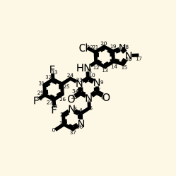 Cc1cnc(Cn2c(=O)nc(Nc3cc4cn(C)nc4cc3Cl)n(Cc3cc(F)c(F)cc3F)c2=O)nc1